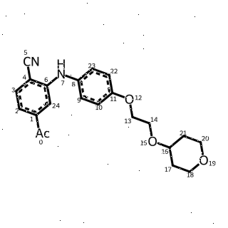 CC(=O)c1ccc(C#N)c(Nc2ccc(OCCOC3CCOCC3)cc2)c1